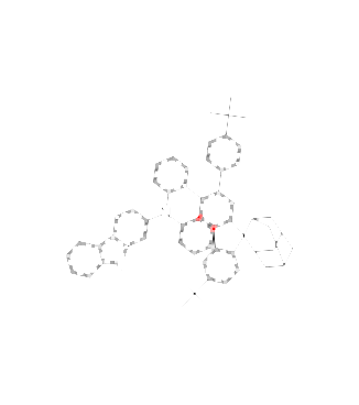 CC(C)(C)c1ccc(-c2cc3c(cc2-c2ccccc2N(c2ccccc2)c2ccc4c(c2)oc2ccccc24)-c2cc(C(C)(C)C)ccc2C32C3CC4CC(C3)CC2C4)cc1